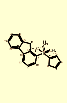 [CH2]=[Ti]([CH3])([CH3])([C]1=CC=CC1)[c]1cccc2c1Cc1ccccc1-2